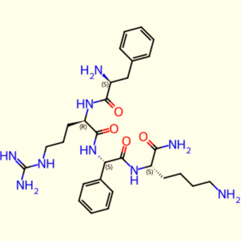 N=C(N)NCCC[C@@H](NC(=O)[C@@H](N)Cc1ccccc1)C(=O)N[C@H](C(=O)N[C@@H](CCCCN)C(N)=O)c1ccccc1